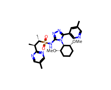 CO[C@H]1CCC[C@@H](OC)[C@@H]1n1c(NS(=O)(=O)[C@@H](C)[C@H](C)c2ncc(C)cn2)nnc1-c1cncc(C)c1